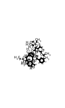 C=C[C@@H]1O[C@@H]2C3=C(C)[C@@H](OC(=O)[C@](C)(O[Si](CC)(CC)CC)[C@@H](NC(=O)OC(C)C)C(F)F)C[C@@](O)([C@@H](OC(=O)c4ccccc4)[C@H]4[C@@](C)(CC[C@H]5OC[C@]54OC(C)=O)[C@@H]2O1)C3(C)C